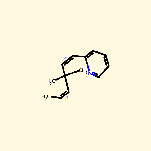 C/C=C\C(C)(C)/C=C\c1ccccn1